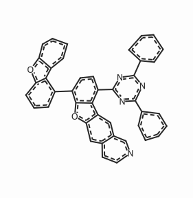 c1ccc(-c2nc(-c3ccccc3)nc(-c3ccc(-c4cccc5oc6ccccc6c45)c4oc5cc6ccncc6cc5c34)n2)cc1